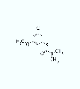 COc1cc(Cl)cc(SC(=O)N(C)C)c1